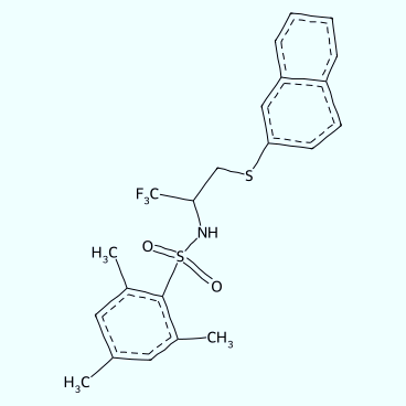 Cc1cc(C)c(S(=O)(=O)NC(CSc2ccc3ccccc3c2)C(F)(F)F)c(C)c1